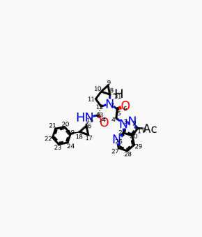 CC(=O)c1nn(CC(=O)N2[C@@H]3CC3C[C@H]2C(=O)N[C@@H]2C[C@H]2c2ccccc2)c2ncccc12